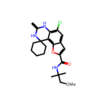 C=C1Nc2c(Cl)cc3cc(C(=O)NC(C)(C)COC)oc3c2C2(CCCCC2)N1